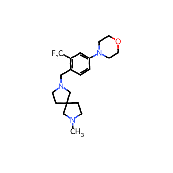 CN1CCC2(CCN(Cc3ccc(N4CCOCC4)cc3C(F)(F)F)C2)C1